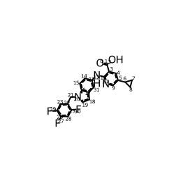 O=C(O)c1cc(C2CC2)cnc1Nc1ccc2c(ccn2Cc2cc(F)c(F)cc2F)c1